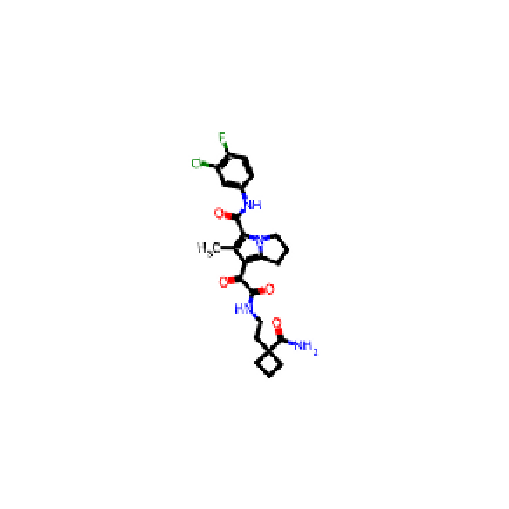 Cc1c(C(=O)C(=O)NCCC2(C(N)=O)CCC2)c2n(c1C(=O)Nc1ccc(F)c(Cl)c1)CCC2